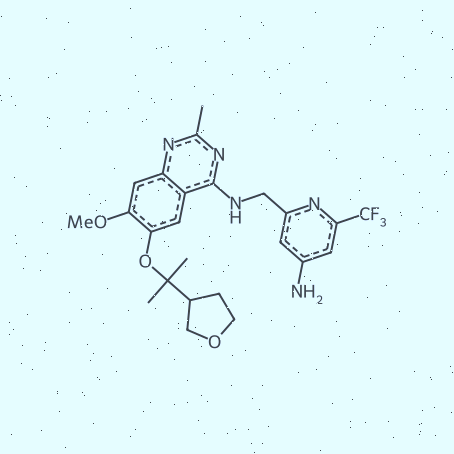 COc1cc2nc(C)nc(NCc3cc(N)cc(C(F)(F)F)n3)c2cc1OC(C)(C)C1CCOC1